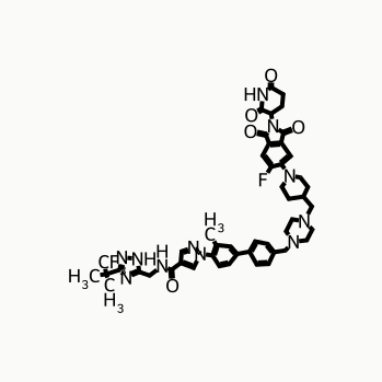 Cc1cc(-c2ccc(CN3CCN(CC4CCN(c5cc6c(cc5F)C(=O)N(C5CCC(=O)NC5=O)C6=O)CC4)CC3)cc2)ccc1-n1cc(C(=O)NCc2nc(C(C)(C)C(F)(F)F)n[nH]2)cn1